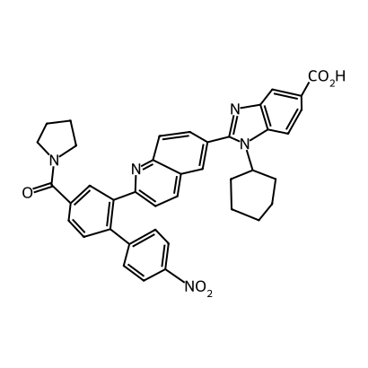 O=C(O)c1ccc2c(c1)nc(-c1ccc3nc(-c4cc(C(=O)N5CCCC5)ccc4-c4ccc([N+](=O)[O-])cc4)ccc3c1)n2C1CCCCC1